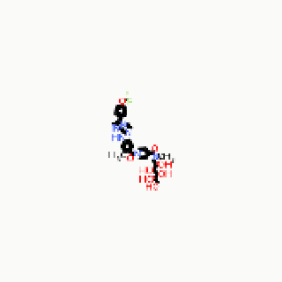 Cc1cc(Nc2nccn3c(-c4ccc(OC(F)F)cc4)cnc23)ccc1C(=O)N1CCC(C(=O)N(C)CC(O)C(O)C(O)C(O)CO)CC1